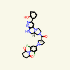 O=C([C@H]1CCN(c2cc(F)c(N3C(=O)CCCC3=O)c(F)c2)C1)N1CCN2c3cc(-c4ccccc4O)nnc3NC[C@H]2C1